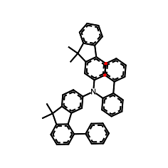 CC1(C)c2ccccc2-c2ccc(N(c3ccc4c(c3)-c3c(-c5ccccc5)cccc3C4(C)C)c3ccccc3-c3ccccc3)cc21